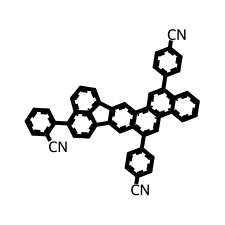 N#Cc1ccc(-c2cc3c4cc5c(cc4c(-c4ccc(C#N)cc4)cc3c3ccccc23)-c2ccc(-c3ccccc3C#N)c3cccc-5c23)cc1